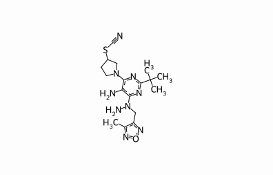 Cc1nonc1CN(N)c1nc(C(C)(C)C)nc(N2CCC(SC#N)C2)c1N